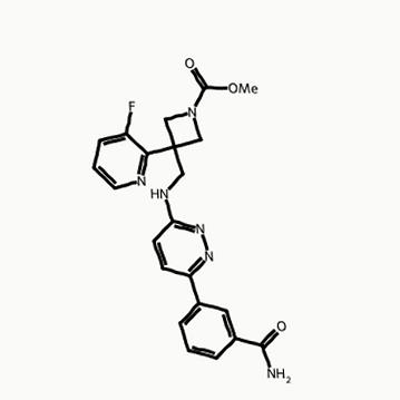 COC(=O)N1CC(CNc2ccc(-c3cccc(C(N)=O)c3)nn2)(c2ncccc2F)C1